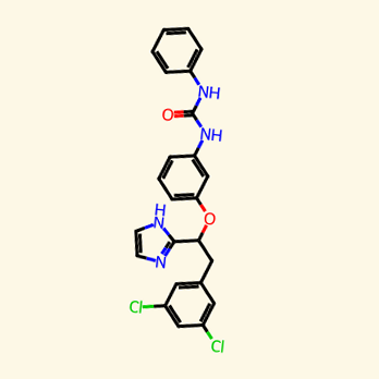 O=C(Nc1ccccc1)Nc1cccc(OC(Cc2cc(Cl)cc(Cl)c2)c2ncc[nH]2)c1